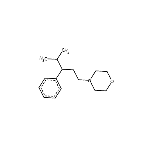 CC(C)C(CCN1CCOCC1)c1ccccc1